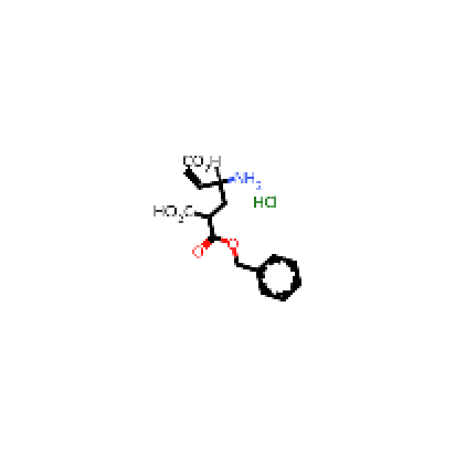 C=C[C@](N)(CC(C(=O)O)C(=O)OCc1ccccc1)C(=O)O.Cl